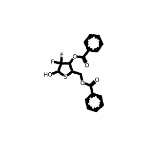 O=C(OCC1SC(O)C(F)(F)C1OC(=O)c1ccccc1)c1ccccc1